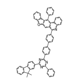 CC1(C)c2ccccc2-c2ccc(-c3nc(-c4ccccc4)nc(-c4ccc(-c5ccc(-c6nc7ccccc7c7c(-c8ccccc8)c8c(cc67)oc6ccccc68)cc5)cc4)n3)cc21